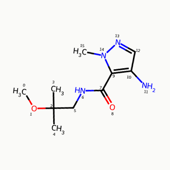 COC(C)(C)CNC(=O)c1c(N)cnn1C